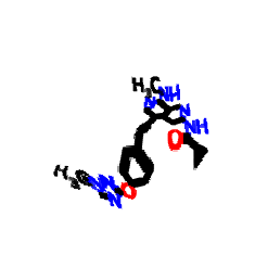 CNc1ncc(C#Cc2ccc(Oc3ncn(C)n3)cc2)c2cc(NC(=O)C3CC3)ncc12